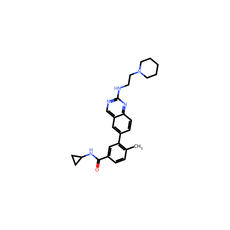 Cc1ccc(C(=O)NC2CC2)cc1-c1ccc2nc(NCCN3CCCCC3)ncc2c1